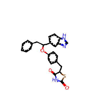 O=C1NC(=O)C(Cc2ccc(OC(Cc3ccccc3)c3ccc4[nH]cnc4c3)cc2)S1